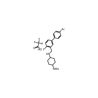 CNC1CCC(NCc2cc(-c3ccc(C(C)=O)cc3)ccc2F)CC1.O=C(O)C(F)(F)F